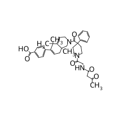 CC(=O)CC(=O)NCC(=O)N1CCC(C(=O)N2CC=C3C(C)(C)C(c4ccc(C(=O)O)cc4)=CC[C@]3(C)C2)(c2ccccc2)CC1